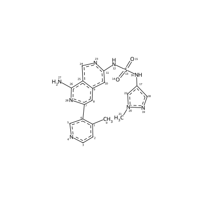 Cc1ccncc1-c1cc2cc(NS(=O)(=O)Nc3cnn(C)c3)ncc2c(N)n1